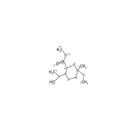 CCC1(C)CCC(C(C)C)C(C(=O)OC)C1